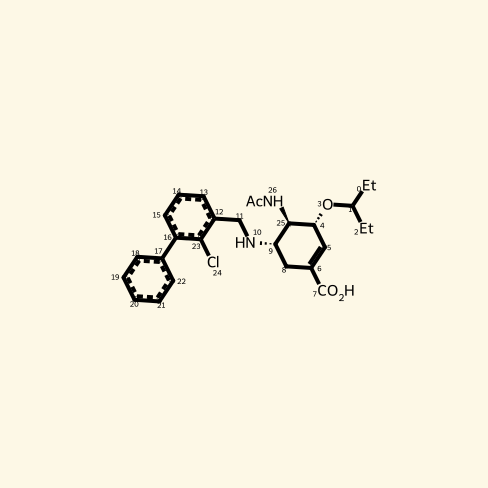 CCC(CC)O[C@@H]1C=C(C(=O)O)C[C@H](NCc2cccc(-c3ccccc3)c2Cl)[C@H]1NC(C)=O